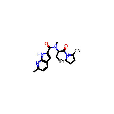 Cc1ccc2cc(C(=O)N(C)C(CC(C)C)C(=O)N3CCCC3C#N)[nH]c2n1